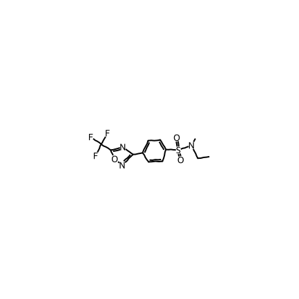 CCN(C)S(=O)(=O)c1ccc(-c2noc(C(F)(F)F)n2)cc1